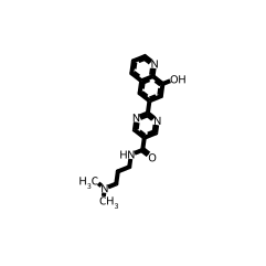 CN(C)CCCNC(=O)c1cnc(-c2cc(O)c3ncccc3c2)nc1